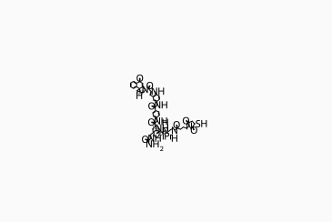 CC(C)[C@H](NCCNC(=O)CCCN1C(=O)CC(S)C1=O)C(=O)N[C@@H](CCCNC(N)=O)C(=O)Nc1ccc(C(=O)Nc2ccc3[nH]c(C(=O)N4C[C@H]5CC56C4=CC(=O)c4ccccc46)cc3c2)cc1